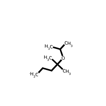 [CH2]CCC(C)(C)OC(C)C